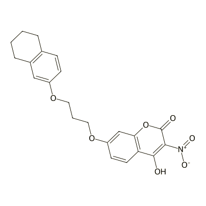 O=c1oc2cc(OCCCOc3ccc4c(c3)CCCC4)ccc2c(O)c1[N+](=O)[O-]